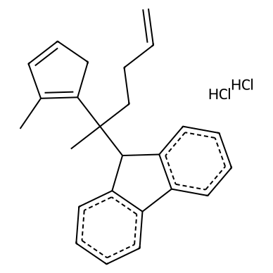 C=CCCC(C)(C1=C(C)C=CC1)C1c2ccccc2-c2ccccc21.Cl.Cl